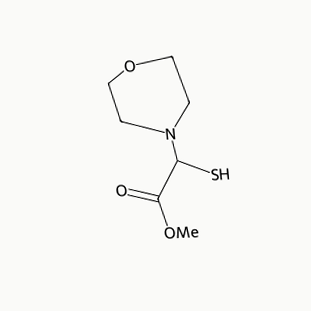 COC(=O)C(S)N1CCOCC1